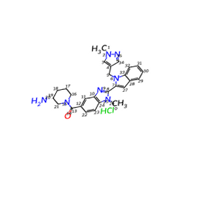 Cl.Cn1cc(Cn2c(-c3nc4cc(C(=O)N5CCC[C@@H](N)C5)ccc4n3C)cc3ccccc32)cn1